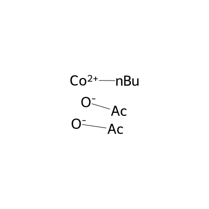 CC(=O)[O-].CC(=O)[O-].CCC[CH2][Co+2]